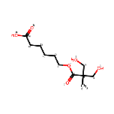 CC(CO)(CO)C(=O)OCCCCCC(=O)O